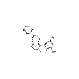 Cc1c(-c2c3ccc(-c4cccnc4)cc3cc[n+]2C)cc(C(C)C)cc1C(C)C